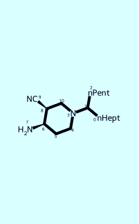 CCCCCCCC(CCCCC)N1CC[C@@H](N)[C@@H](C#N)C1